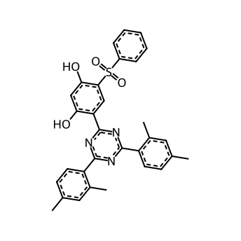 Cc1ccc(-c2nc(-c3ccc(C)cc3C)nc(-c3cc(S(=O)(=O)c4ccccc4)c(O)cc3O)n2)c(C)c1